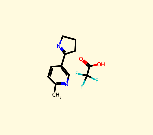 Cc1ccc(C2=NCCC2)cn1.O=C(O)C(F)(F)F